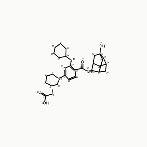 O=C(O)C[C@@H]1CCCN(c2ccc(C(=O)NC3C4CC5CC3CC(O)(C5)C4)c(SC3CCCCC3)n2)C1